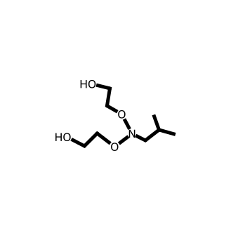 CC(C)CN(OCCO)OCCO